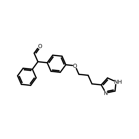 O=CC(c1ccccc1)c1ccc(OCCCc2c[nH]cn2)cc1